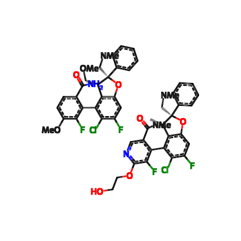 CNC[C@]1(c2ccccc2)Oc2cc(F)c(Cl)c(-c3c(C(=O)NC)cnc(OCCO)c3F)c2[C@@H]1C.CNC[C@]1(c2ccccc2)Oc2cc(F)c(Cl)c(-c3c(C(N)=O)ccc(OC)c3F)c2[C@@H]1COC